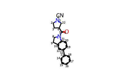 N#CN1CCC(C(=O)N2CCc3cc(-c4ccccc4)ccc32)C1